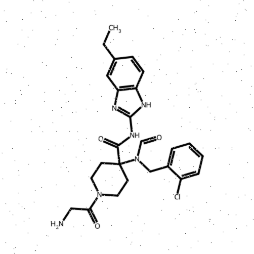 CCc1ccc2[nH]c(NC(=O)C3(N(C=O)Cc4ccccc4Cl)CCN(C(=O)CN)CC3)nc2c1